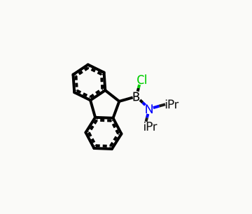 CC(C)N(B(Cl)C1c2ccccc2-c2ccccc21)C(C)C